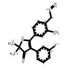 Cc1cc(C2=C(c3cccc(F)c3)C(=O)C(C)(C)O2)ccc1C[S+]=O